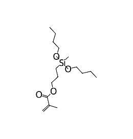 C=C(C)C(=O)OCCC[Si](C)(OCCCC)OCCCC